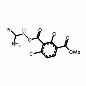 COC(=O)c1ccc(Cl)c(C(=O)ONC(N)C(C)C)c1Cl